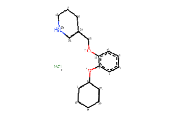 Cl.c1ccc(OC2CCCCC2)c(OCC2CCCNC2)c1